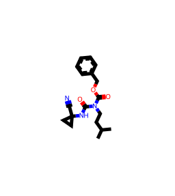 CC(C)CCN(C(=O)NC1(C#N)CC1)C(=O)OCc1ccccc1